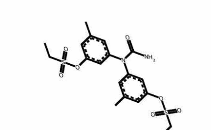 CCS(=O)(=O)Oc1cc(C)cc(N(C(N)=O)c2cc(C)cc(OS(=O)(=O)CC)c2)c1